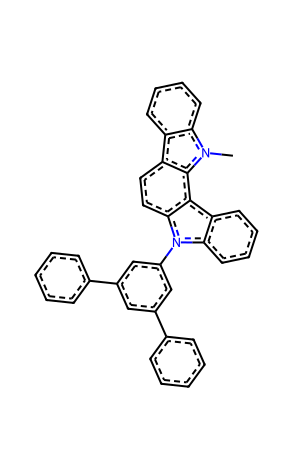 Cn1c2ccccc2c2ccc3c(c4ccccc4n3-c3cc(-c4ccccc4)cc(-c4ccccc4)c3)c21